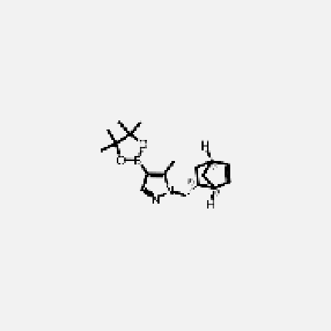 Cc1c(B2OC(C)(C)C(C)(C)O2)cnn1C[C@@H]1C[C@@H]2C=C[C@H]1C2